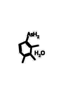 Cc1ccc([AsH2])c(C)c1C.O